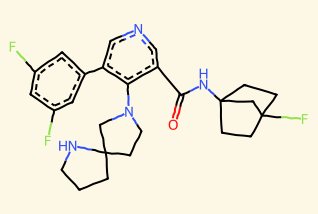 O=C(NC12CCC(F)(CC1)C2)c1cncc(-c2cc(F)cc(F)c2)c1N1CCC2(CCCN2)C1